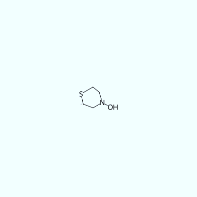 ON1C[CH]SCC1